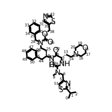 CC(C)c1nc(CN(C)C(=O)N[C@@H](CCN2CCOCC2)C(=O)N[C@H](CCN(Cc2ccccc2)C(=O)OCc2cncs2)Cc2ccccc2)cs1